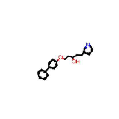 OC(CCOc1ccc(-c2ccccc2)cc1)CCc1cccnc1